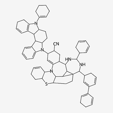 N#CC1CC2C(=CC1N1c3ccccc3C3C4C5=C(CCC=C5)N(C5=CCCCC5)C4CCC31)N1C3C=CCCC3SC3CCC45C(C6C=C(C7=CCCC=C7)C=CC6)NC(C6C=CC=CC6)NC2C4C5C31